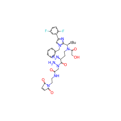 CC(C)(C)[C@H](c1nc(-c2cc(F)ccc2F)cn1Cc1ccccc1)N(CC[C@H](N)C(=O)N(N)CC(=O)NCCN1C(=O)C=CC1=O)C(=O)CO